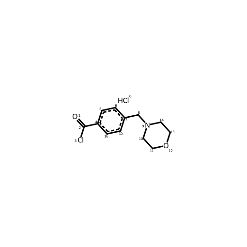 Cl.O=C(Cl)c1ccc(CN2CCOCC2)cc1